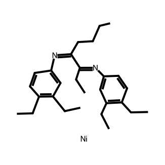 CCCCC(=Nc1ccc(CC)c(CC)c1)C(CC)=Nc1ccc(CC)c(CC)c1.[Ni]